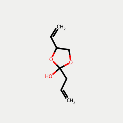 C=CCC1(O)OCC(C=C)O1